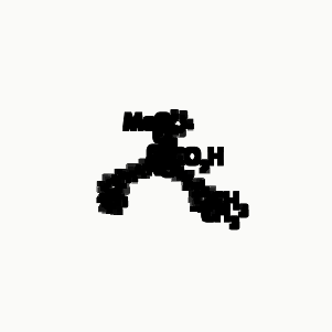 COc1ccccc1C(=O)COC(C(=O)O)C(OCCCCCc1ccc(C)c(C)c1)C(=O)NCCCCCc1ccc2ccccc2c1